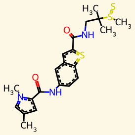 Cc1cc(C(=O)Nc2ccc3sc(C(=O)NCC(C)(C)S(C)=S)cc3c2)n(C)c1